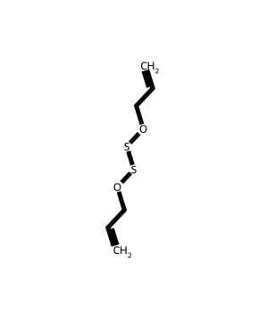 C=CCOSSOCC=C